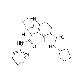 O=C(NC1CCCC1)C1C=CC2=C(N1)N(C(=O)Nc1ccccn1)[C@H]1CCN2C1